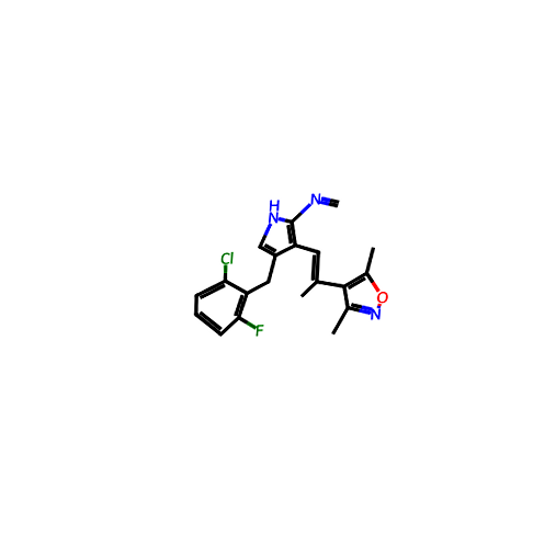 C=Nc1[nH]cc(Cc2c(F)cccc2Cl)c1/C=C(\C)c1c(C)noc1C